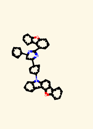 c1ccc(-c2cc(-c3ccc(-n4c5ccccc5c5c6oc7ccccc7c6ccc54)cc3)nc(-c3cccc4oc5ccccc5c34)n2)cc1